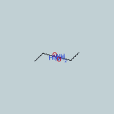 CCCCCCCC/C=C\CCCCCCCC(=O)NC(N)(CC)NC(=O)CCCCCCC/C=C\CCCCCCCC